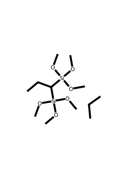 CCC.CCC([Si](OC)(OC)OC)[Si](OC)(OC)OC